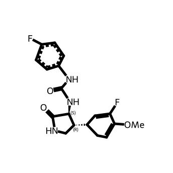 COC1=CCC([C@@H]2CNC(=O)[C@H]2NC(=O)Nc2ccc(F)cc2)C=C1F